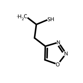 [CH2]C(S)Cc1conn1